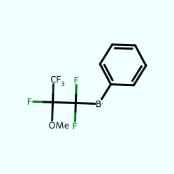 COC(F)(C(F)(F)F)C(F)(F)[B]c1ccccc1